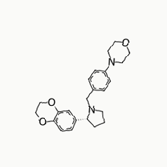 c1cc(N2CCOCC2)ccc1CN1CCC[C@@H]1c1ccc2c(c1)OCCO2